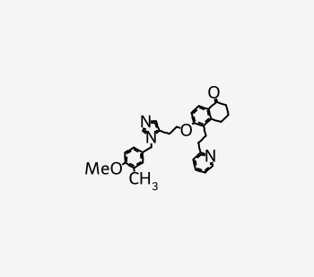 COc1ccc(Cn2cncc2CCOc2ccc3c(c2CCc2ccccn2)CCCC3=O)cc1C